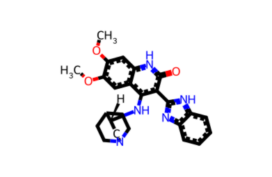 COc1cc2[nH]c(=O)c(-c3nc4ccccc4[nH]3)c(N[C@@H]3CN4CCC3CC4)c2cc1OC